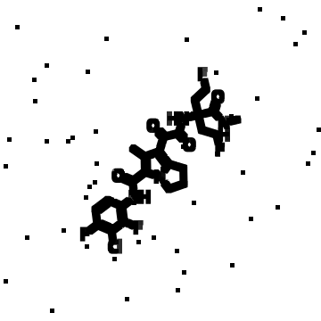 CNC(=O)C(CCF)(CCF)NC(=O)C(=O)c1c(C)c(C(=O)Nc2ccc(F)c(Cl)c2F)n2c1CCC2